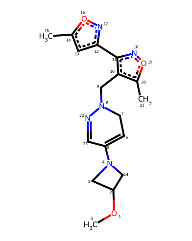 COC1CN(C2=CCN(Cc3c(-c4cc(C)on4)noc3C)N=C2)C1